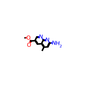 COC(=O)c1cnc2nc(N)cc(C)c2c1